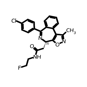 Cc1noc2c1-c1ccccc1C(c1ccc(Cl)cc1)=N[C@H]2CC(=O)NCCF